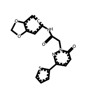 O=C(Cn1nc(-c2cccs2)ccc1=O)Nc1ccc2c(c1)OCO2